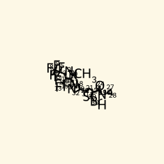 Cn1nc(C(F)(F)C(F)(F)F)c(C(F)(F)F)c1-n1cc(-c2cc(C(=O)NC3CC3)c(Br)s2)cn1